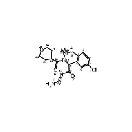 COc1ccc(Cl)cc1C(C(=O)N=NN)N(N)C(=O)C1CCOCC1